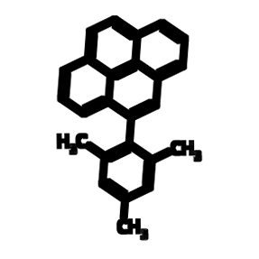 Cc1cc(C)c(-c2cc3cccc4ccc5cccc2c5c43)c(C)c1